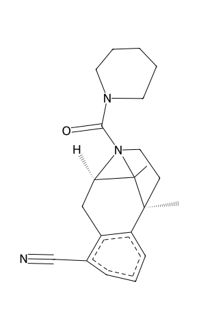 CC1(C)[C@H]2Cc3c(C#N)cccc3[C@]1(C)CCN2C(=O)N1CCCCC1